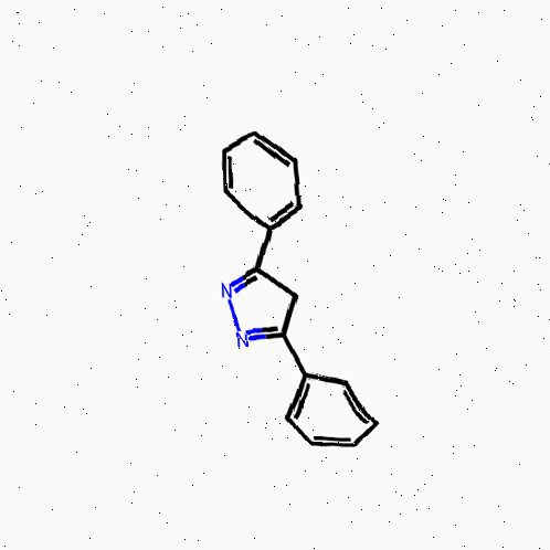 c1ccc(C2=NN=C(c3ccccc3)C2)cc1